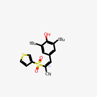 CC(C)(C)c1cc(/C=C(/C#N)S(=O)(=O)c2ccsc2)cc(C(C)(C)C)c1O